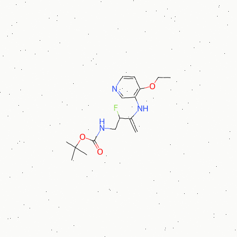 C=C(Nc1cnccc1OCC)C(F)CNC(=O)OC(C)(C)C